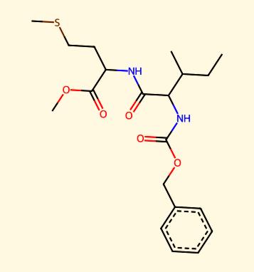 CCC(C)C(NC(=O)OCc1ccccc1)C(=O)NC(CCSC)C(=O)OC